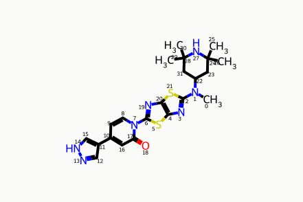 CN(c1nc2sc(-n3ccc(-c4cn[nH]c4)cc3=O)nc2s1)C1CC(C)(C)NC(C)(C)C1